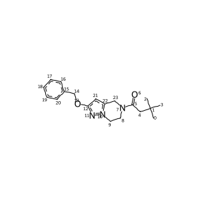 CC(C)(C)CC(=O)N1CCn2nc(OCc3ccccc3)cc2C1